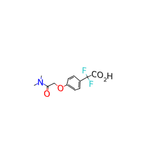 CN(C)C(=O)COc1ccc(C(F)(F)C(=O)O)cc1